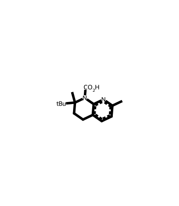 Cc1ccc2c(n1)N(C(=O)O)C(C)(C(C)(C)C)CC2